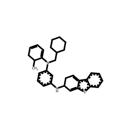 CC1CC=CC=C1N(CC1CCCCC1)c1cccc(NC2C=c3sc4ccccc4c3=CC2)c1